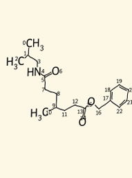 CC(C)CNC(=O)CCC(C)CCC(=O)OCc1ccccc1